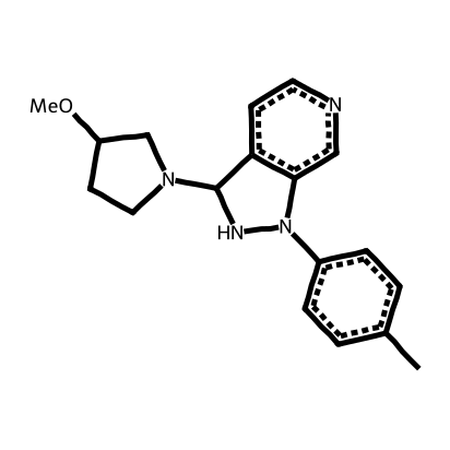 COC1CCN(C2NN(c3ccc(C)cc3)c3cnccc32)C1